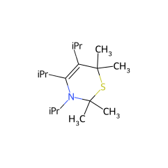 CC(C)C1=C(C(C)C)C(C)(C)SC(C)(C)N1C(C)C